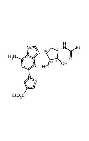 CCOC(=O)c1cnn(-c2nc(N)c3ncn([C@@H]4C[C@H](NC(=O)CC)[C@@H](O)[C@H]4O)c3n2)c1